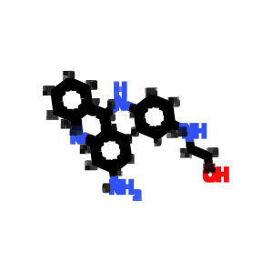 Nc1ccc2c(Nc3ccc(NCCO)cc3)c3ccccc3nc2c1